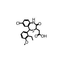 CCc1c(OC)cccc1C1SC(CC(=O)O)C(=O)Nc2ccc(Cl)cc21